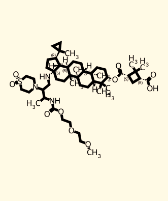 COCCOCCOC(=O)NC(C)C(CN[C@]12CC[C@@H](C3(C)CC3)[C@@H]1[C@H]1CC[C@@H]3[C@@]4(C)CC[C@H](OC(=O)[C@H]5C[C@@H](C(=O)O)C5(C)C)C(C)(C)[C@@H]4CC[C@@]3(C)[C@]1(C)CC2)N1CCS(=O)(=O)CC1